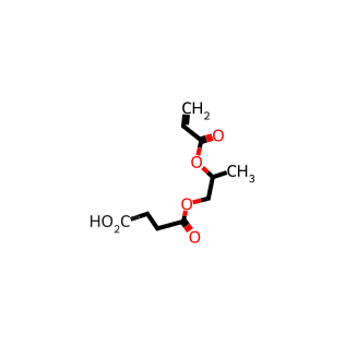 C=CC(=O)OC(C)COC(=O)CCC(=O)O